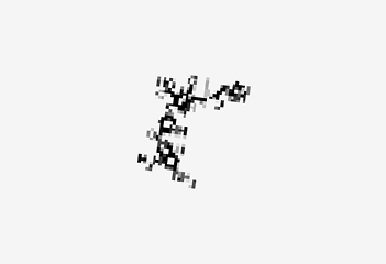 C[C@@H](NC(=O)Cn1cnnn1)[C@H]1C(=O)N2C(C(=O)O)=C(S[C@@H]3CN[C@H](C(=O)N4C[C@H]5C[C@H](N)C[C@@]5(N)C4)C3)[C@H](C)[C@H]12